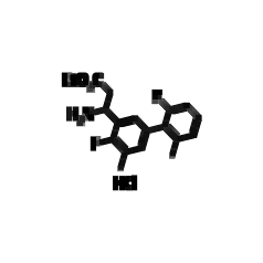 CCOC(=O)CC(N)c1cc(-c2c(C)cccc2F)cc(C)c1F.Cl